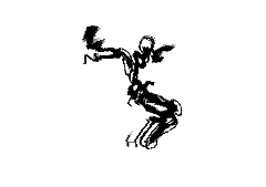 CCCCCCC(CC#N)OC(=O)N(COc1ccc2nc3c(c(CC)c2c1)Cn1c-3cc2c(c1=O)COC(=O)[C@]2(O)CC)c1ccc(C(=O)N(CC)CC)cc1